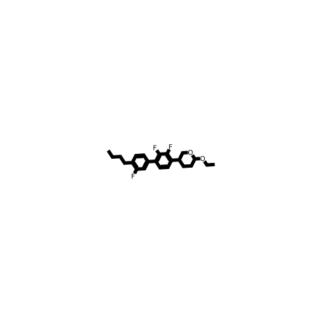 CCCCc1ccc(-c2ccc(C3CCC(OCC)OC3)c(F)c2F)cc1F